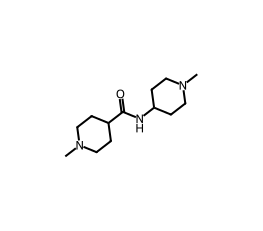 CN1CCC(NC(=O)C2CCN(C)CC2)CC1